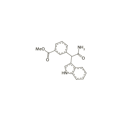 COC(=O)c1cccc(C(C(N)=O)c2c[nH]c3ccccc23)c1